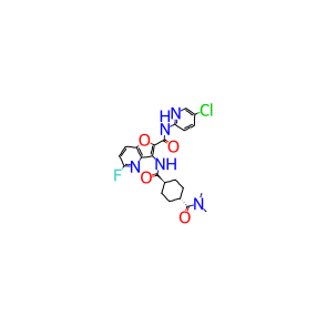 CN(C)C(=O)[C@H]1CC[C@H](C(=O)Nc2c(C(=O)Nc3ccc(Cl)cn3)oc3ccc(F)nc23)CC1